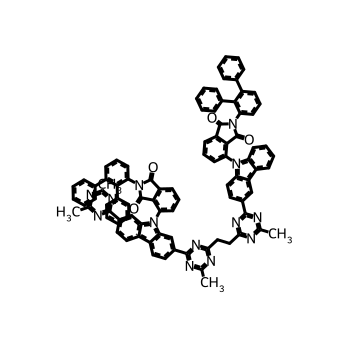 Cc1nc(C)nc(-c2ccc3c4ccc(-c5nc(C)nc(CCc6nc(C)nc(-c7ccc8c(c7)c7ccccc7n8-c7cccc8c7C(=O)N(c7cccc(-c9ccccc9)c7-c7ccccc7)C8=O)n6)n5)cc4n(-c4cccc5c4C(=O)N(c4cccc(-c6ccccc6)c4-c4ccccc4)C5=O)c3c2)n1